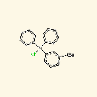 CC(C)(C)c1cccc([Si](Cl)(c2ccccc2)c2ccccc2)c1